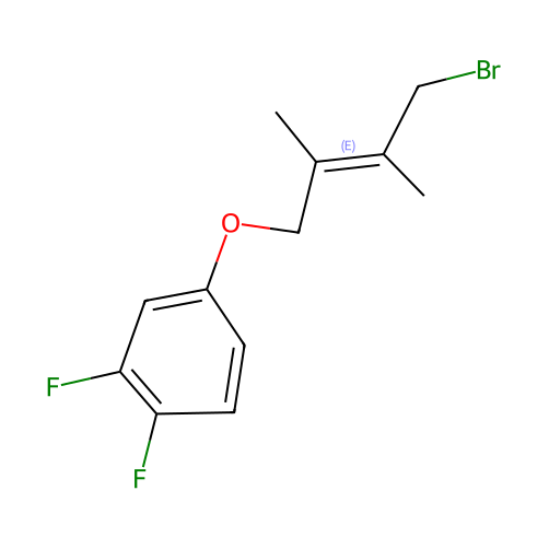 C/C(CBr)=C(/C)COc1ccc(F)c(F)c1